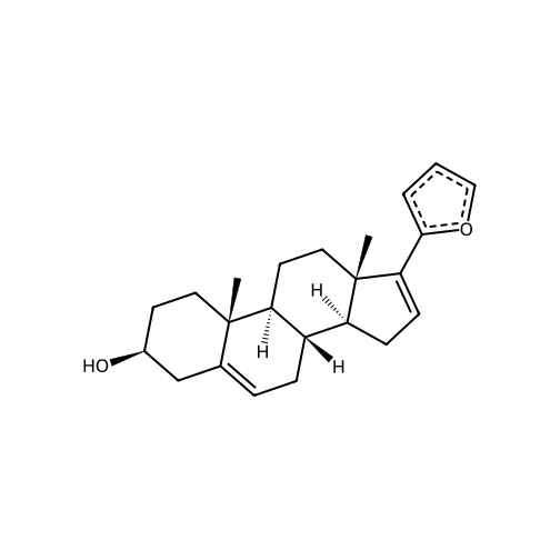 C[C@]12CC[C@H](O)CC1=CC[C@@H]1[C@@H]2CC[C@]2(C)C(c3ccco3)=CC[C@@H]12